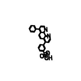 O=S(=O)(O)c1cccc(-c2ccnc3c2ccc2c(-c4ccccc4)ccnc23)c1